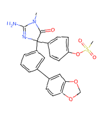 CN1C(=O)C(c2ccc(OS(C)(=O)=O)cc2)(c2cccc(-c3ccc4c(c3)OCO4)c2)N=C1N